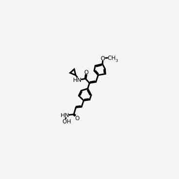 COc1ccc(C=C(C(=O)NC2CC2)c2ccc(C=CC(=O)NO)cc2)cc1